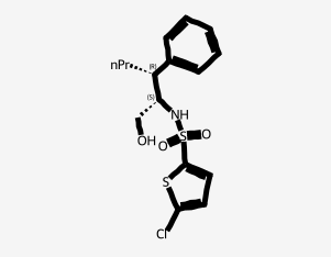 CCC[C@H](c1ccccc1)[C@@H](CO)NS(=O)(=O)c1ccc(Cl)s1